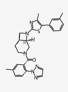 Cc1cccc(-c2sc(N3CC4CCN(C(=O)c5cc(C)ccc5-n5nccn5)C[C@H]43)nc2C)c1